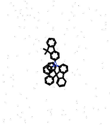 CC1(C)c2ccccc2-c2ccc(N(c3ccccc3)c3cccc4c3C3(C5=CC=CCC54)c4ccccc4-c4ccccc43)cc21